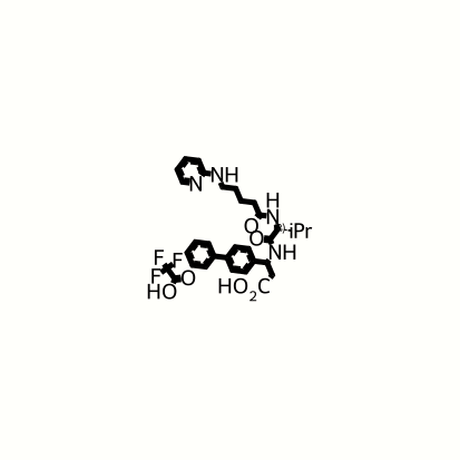 CC(C)[C@@H](NC(=O)CCCCNc1ccccn1)C(=O)NC(CC(=O)O)c1ccc(-c2ccccc2)cc1.O=C(O)C(F)(F)F